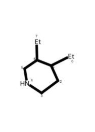 CCC1CCNCC1CC